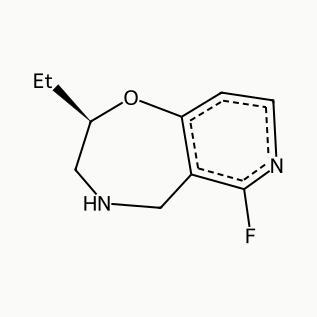 CC[C@@H]1CNCc2c(ccnc2F)O1